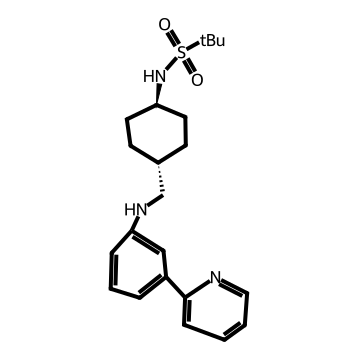 CC(C)(C)S(=O)(=O)N[C@H]1CC[C@H](CNc2cccc(-c3ccccn3)c2)CC1